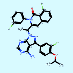 CC(C)Oc1ccc(-c2nn(C(C)c3cc4cccc(F)c4c(=O)n3-c3cccc(F)c3)c3ncnc(N)c23)cc1F